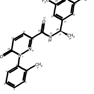 Cc1ccccc1-n1nc(C(=O)N[C@H](C)c2cc(N)cc(C(F)(F)F)c2)ccc1=O